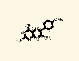 COc1ccc(-c2nc3c(N)nc(N)nc3nc2N)cc1